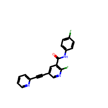 O=C(Nc1ccc(F)cc1)c1cc(C#Cc2ccccn2)cnc1F